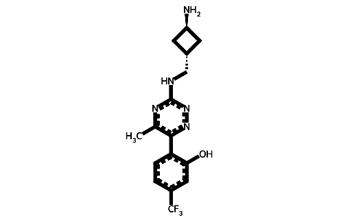 Cc1nc(NC[C@H]2C[C@H](N)C2)nnc1-c1ccc(C(F)(F)F)cc1O